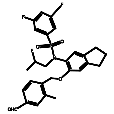 Cc1cc(C=O)ccc1COc1cc2c(cc1N(CC(C)F)S(=O)(=O)c1cc(F)cc(F)c1)CCC2